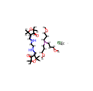 CC1(C)OC(C)(C)/C(=C/NCCN/C=C2\C(=O)C(C)(C)OC2(C)C)C1=O.COCCCP(CCCOC)CCCOC.[99Tc].[Cl-]